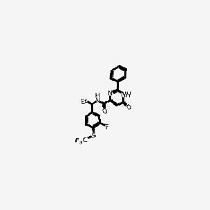 CCC(NC(=O)c1cc(=O)[nH]c(-c2ccccc2)n1)c1ccc(SC(F)(F)F)c(F)c1